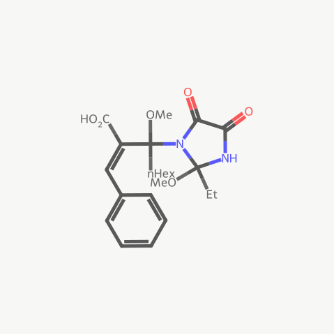 CCCCCCC(OC)(C(=Cc1ccccc1)C(=O)O)N1C(=O)C(=O)NC1(CC)OC